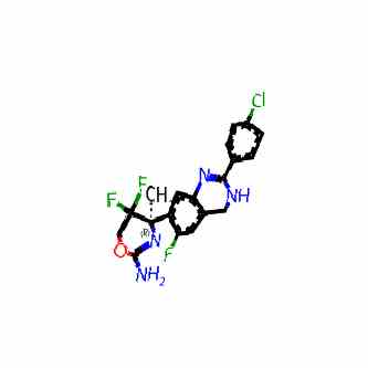 C[C@]1(c2cc3c(cc2F)CNC(c2ccc(Cl)cc2)=N3)N=C(N)OCC1(F)F